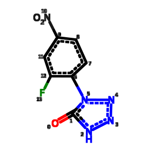 O=c1[nH]nnn1-c1ccc([N+](=O)[O-])cc1F